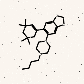 CCCCN1CCN(c2cc3c(cc2C2=CC(C)(C)CC(C)(C)C2)OCO3)CC1